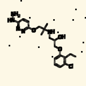 CCc1c(Cl)cccc1OCC(O)CNC(C)(C)COc1ccc(NN)nn1